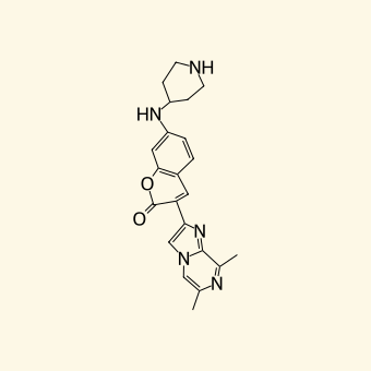 Cc1cn2cc(-c3cc4ccc(NC5CCNCC5)cc4oc3=O)nc2c(C)n1